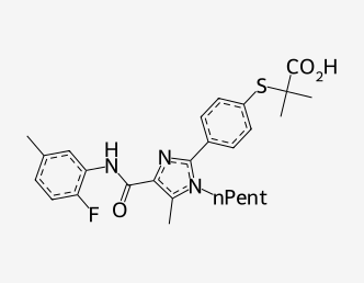 CCCCCn1c(-c2ccc(SC(C)(C)C(=O)O)cc2)nc(C(=O)Nc2cc(C)ccc2F)c1C